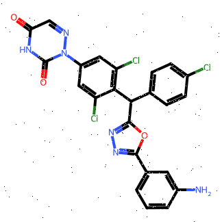 Nc1cccc(-c2nnc(C(c3ccc(Cl)cc3)c3c(Cl)cc(-n4ncc(=O)[nH]c4=O)cc3Cl)o2)c1